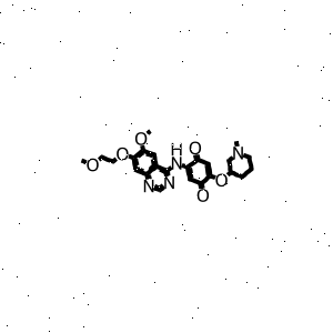 COCCOc1cc2ncnc(NC3=CC(=O)C(OC4CCCN(C)C4)=CC3=O)c2cc1OC